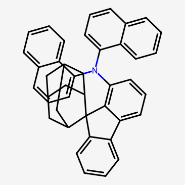 c1ccc2c(c1)-c1cccc(N(c3cccc4ccccc34)c3cccc4ccccc34)c1C21C2CC3CC(C2)CC1C3